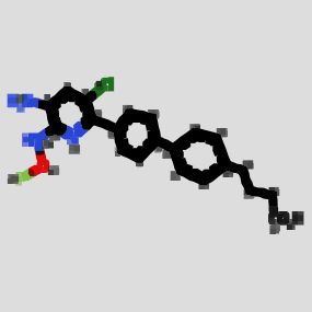 Nc1cc(Cl)c(-c2ccc(-c3ccc(CCCC(=O)O)cc3)cc2)nc1NOF